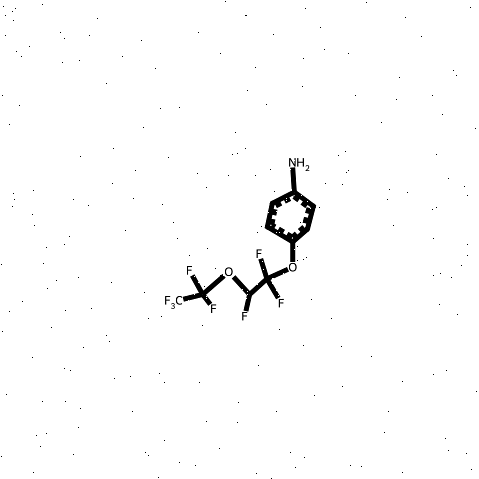 Nc1ccc(OC(F)(F)C(F)OC(F)(F)C(F)(F)F)cc1